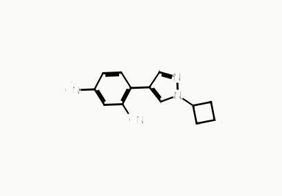 N#Cc1cc([N+](=O)[O-])ccc1-c1cnn(C2CCC2)c1